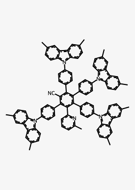 Cc1ccc2c(c1)c1cc(C)ccc1n2-c1ccc(-c2c(C#N)c(-c3ccc(-n4c5ccc(C)cc5c5cc(C)ccc54)cc3)c(-c3cccc(C)n3)c(-c3ccc(-n4c5ccc(C)cc5c5cc(C)ccc54)cc3)c2-c2ccc(-n3c4ccc(C)cc4c4cc(C)ccc43)cc2)cc1